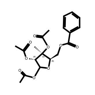 CC(=O)OC1O[C@H](COC(=O)c2ccccc2)[C@](C)(OC(C)=O)[C@H]1OC(C)=O